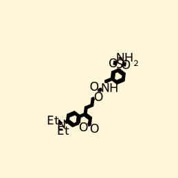 CCN(CC)c1ccc2c(CCCOC(=O)NCc3cccc(S(N)(=O)=O)c3)cc(=O)oc2c1